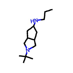 CCCNC1CC2CN(C(C)(C)C)CC2C1